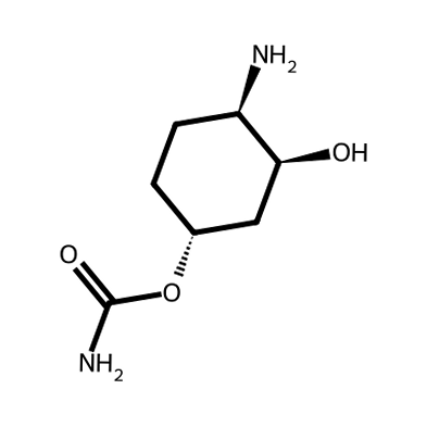 NC(=O)O[C@@H]1CC[C@@H](N)[C@@H](O)C1